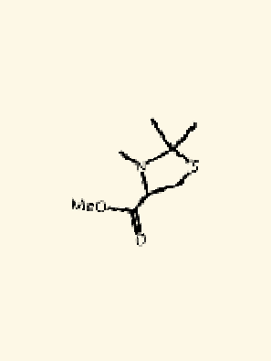 COC(=O)C1CSC(C)(C)N1C